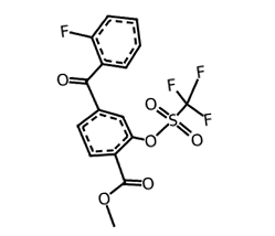 COC(=O)c1ccc(C(=O)c2ccccc2F)cc1OS(=O)(=O)C(F)(F)F